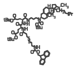 CC(C)CCC[C@@H](C)C1CC[C@H]2[C@H]3CC=C4C[C@@H](N(CCCNC(=O)[C@H](CCC(=O)OC(C)(C)C)NC(=O)[C@H](CCC(=O)OC(C)(C)C)NC(=O)CCSSCCNC(=O)OCC5c6ccccc6-c6ccccc65)C(=O)OC(C)(C)C)CCC4(C)C3CCC12C